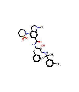 CCN1CCc2c1cc(C(=O)N[C@@H](Cc1ccccc1)[C@H](O)CNC(C)(C)c1cccc(C(F)(F)F)c1)cc2N1CCCCS1(=O)=O